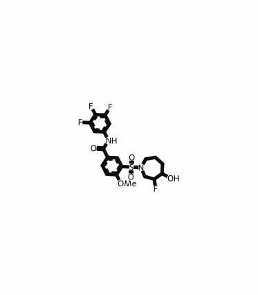 COc1ccc(C(=O)Nc2cc(F)c(F)c(F)c2)cc1S(=O)(=O)N1CCCC(O)C(F)C1